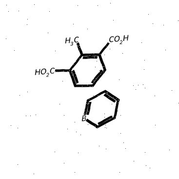 Cc1c(C(=O)O)cccc1C(=O)O.b1ccccc1